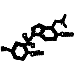 COc1ccc(Br)cc1S(=O)(=O)n1ccc2c(CN(C)C)c(OC)ccc21